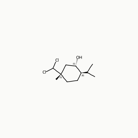 CC(C)[C@H]1CC[C@](C)(C(Cl)Cl)C[C@@H]1O